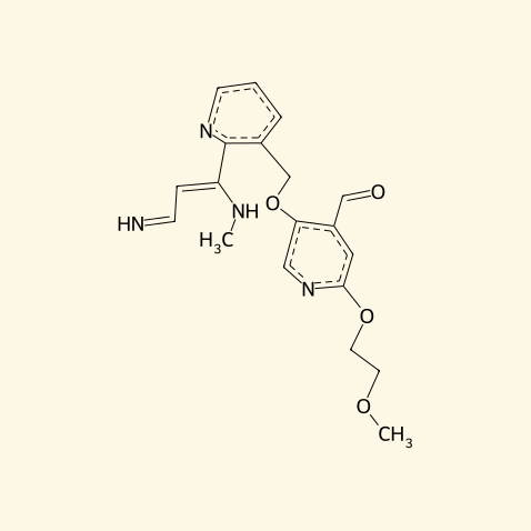 CN/C(=C\C=N)c1ncccc1COc1cnc(OCCOC)cc1C=O